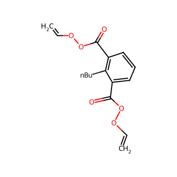 C=COOC(=O)c1cccc(C(=O)OOC=C)c1CCCC